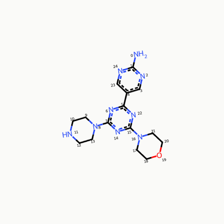 Nc1ncc(-c2nc(N3CCNCC3)nc(N3CCOCC3)n2)cn1